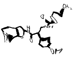 C=CCOC(=O)NCC(C(=O)Nc1cc2ccncc2s1)c1ccc(O)cc1